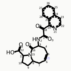 O=C(NC1C/C=C\CC2CCC(C(=O)O)N2C1=O)C(=O)c1nccc2ccccc12